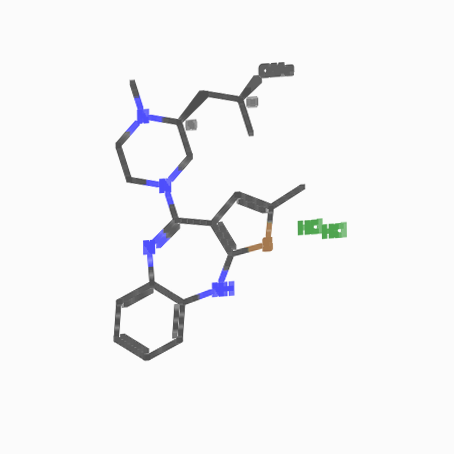 CO[C@@H](C)C[C@H]1CN(C2=Nc3ccccc3Nc3sc(C)cc32)CCN1C.Cl.Cl